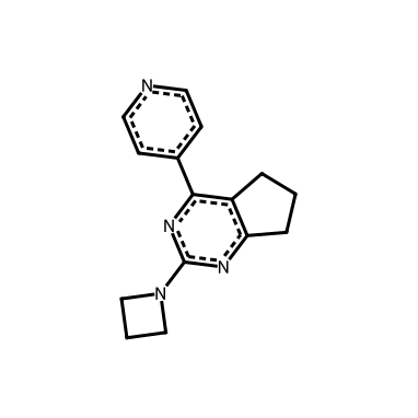 c1cc(-c2nc(N3CCC3)nc3c2CCC3)ccn1